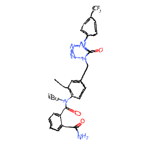 CCC(C)N(C(=O)c1ccccc1C(N)=O)c1ccc(Cn2nnn(-c3ccc(C(F)(F)F)cc3)c2=O)cc1C